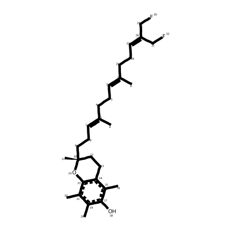 C/C(=C\CC/C(C)=C/CC[C@]1(C)CCc2c(C)c(O)c(C)c(C)c2O1)CCC=C(CF)CF